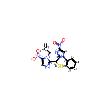 CCn1c([N+](=O)[O-])cnc1C(S)c1nc([N+](=O)[O-])cn1-c1ccccc1